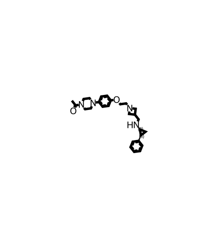 CC(=O)N1CCN(c2ccc(OCCN3CC(CN[C@@H]4C[C@H]4c4ccccc4)C3)cc2)CC1